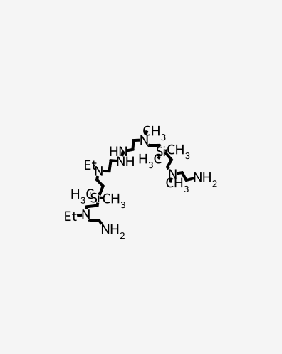 CCN(CCN)CC[Si](C)(C)CCN(CC)CCNNCCN(C)CC[Si](C)(C)CCN(C)CCN